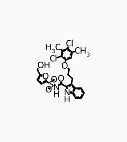 Cc1cc(OCCCc2c(C(=O)NS(=O)(=O)c3ccc(CO)o3)[nH]c3ccccc23)c(Cl)c(C)c1Cl